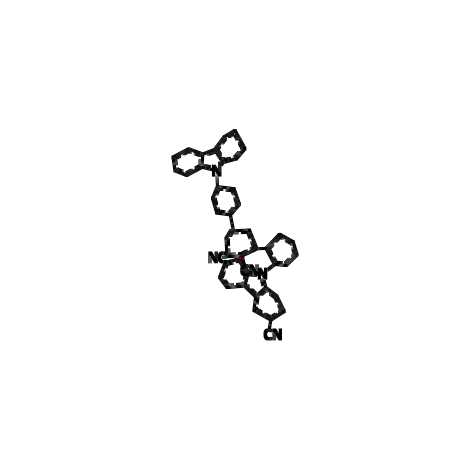 N#Cc1ccc2c(c1)c1ccccc1n2-c1ccccc1-c1cc(-c2ccc(-n3c4ccccc4c4ccccc43)cc2)cc(C#N)c1C#N